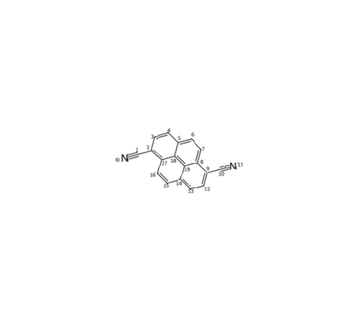 N#Cc1ccc2ccc3c(C#N)ccc4ccc1c2c43